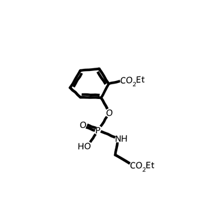 CCOC(=O)CNP(=O)(O)Oc1ccccc1C(=O)OCC